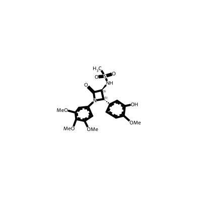 COc1ccc([C@H]2[C@H](NS(C)(=O)=O)C(=O)N2c2cc(OC)c(OC)c(OC)c2)cc1O